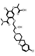 CC(Oc1cc(OC[C@H](O)CN2CCC3(CC2)Cc2cc(Cl)ccc2O3)c(C(=O)N(C)C)cc1Cl)C(=O)O